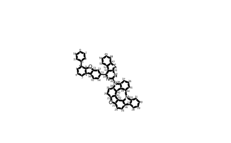 c1ccc(-c2cccc3c2oc2cc(-c4nc(-n5c6ccc7oc8ccc9c%10ccccc%10n%10c%11cccc5c%11c6c7c8c9%10)nc5sc6ccccc6c45)ccc23)cc1